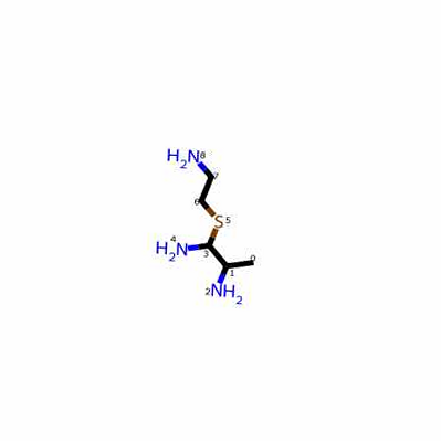 CC(N)C(N)SCCN